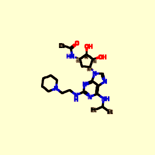 CCC(=O)N[C@H]1C[C@@H](n2cnc3c(NC(CC)CC)nc(NCCN4CCCCC4)nc32)[C@H](O)[C@@H]1O